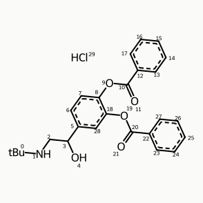 CC(C)(C)NCC(O)c1ccc(OC(=O)c2ccccc2)c(OC(=O)c2ccccc2)c1.Cl